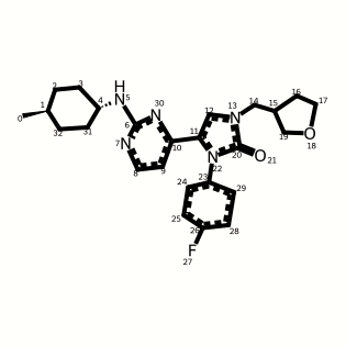 C[C@H]1CC[C@H](Nc2nccc(-c3cn(CC4CCOC4)c(=O)n3-c3ccc(F)cc3)n2)CC1